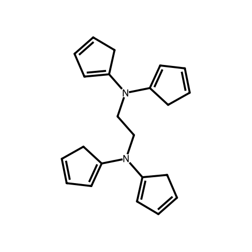 C1=CCC(N(CCN(C2=CC=CC2)C2=CC=CC2)C2=CC=CC2)=C1